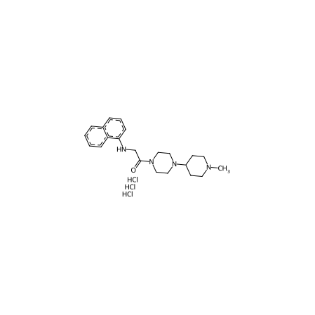 CN1CCC(N2CCN(C(=O)CNc3cccc4ccccc34)CC2)CC1.Cl.Cl.Cl